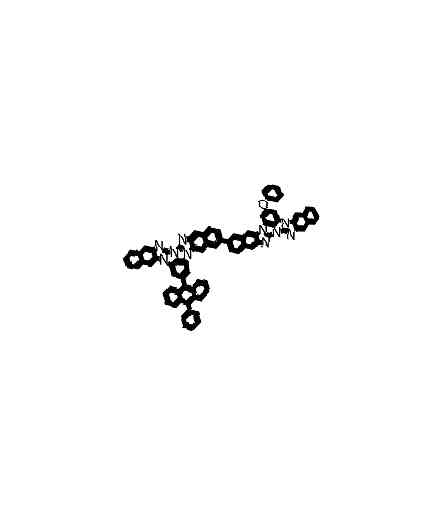 c1ccc(Oc2cc3c4c(c2)n2c5cc6cc(-c7ccc8cc9nc%10n(c9cc8c7)c7cc(-c8c9ccccc9c(-c9ccccc9)c9ccccc89)cc8c7n%10c7nc9cc%10ccccc%10cc9n87)ccc6cc5nc2n4c2nc4cc5ccccc5cc4n32)cc1